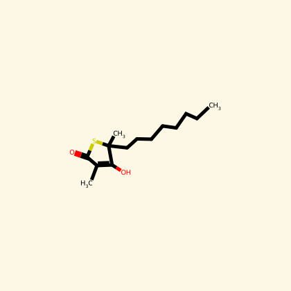 CCCCCCCCC1(C)SC(=O)C(C)=C1O